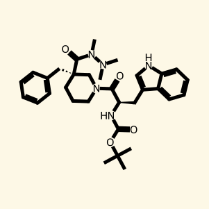 CN(C)N(C)C(=O)[C@]1(Cc2ccccc2)CCCN(C(=O)[C@@H](Cc2c[nH]c3ccccc23)NC(=O)OC(C)(C)C)C1